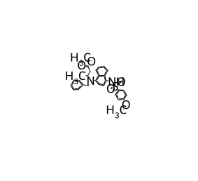 COC(=O)C[C@H](C)N(Cc1ccccc1)c1ccc(NS(=O)(=O)c2ccc(OC)cc2)c2ccccc12